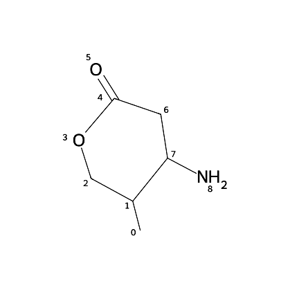 CC1COC(=O)CC1N